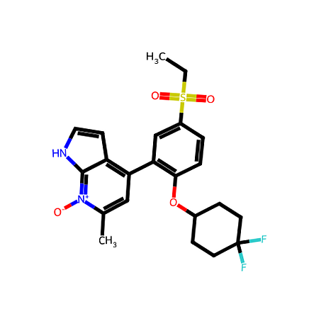 CCS(=O)(=O)c1ccc(OC2CCC(F)(F)CC2)c(-c2cc(C)[n+]([O-])c3[nH]ccc23)c1